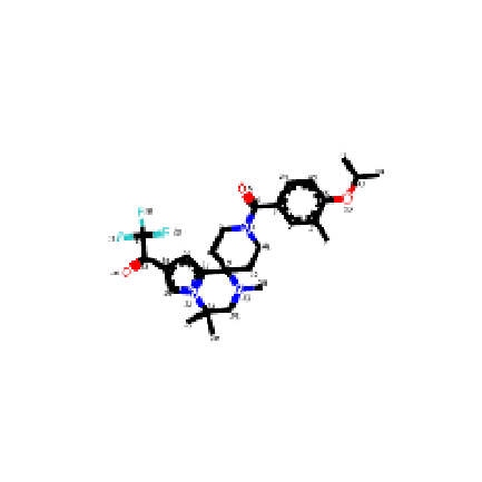 Cc1cc(C(=O)N2CCC3(CC2)c2cc(C(=O)C(F)(F)F)cn2C(C)(C)CN3C)ccc1OC(C)C